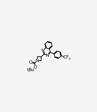 CC(C)(C)OC(=O)N1CC(c2nc(-c3ccc(C(F)(F)F)cc3)c3ccccc3n2)C1